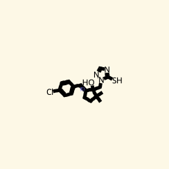 CC1(C)CC/C(=C\c2ccc(Cl)cc2)C1(O)Cn1ncnc1S